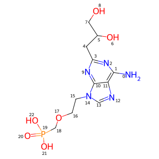 Nc1nc(CC(O)CO)nc2c1ncn2CCOCP(=O)(O)O